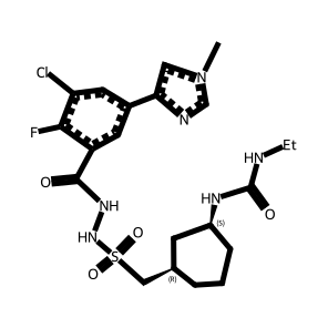 CCNC(=O)N[C@H]1CCC[C@@H](CS(=O)(=O)NNC(=O)c2cc(-c3cn(C)cn3)cc(Cl)c2F)C1